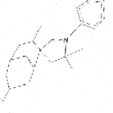 CCC1CC2CC(C)C3(CN(c4ccccc4)C(C)(C)C3)C(C1)C2